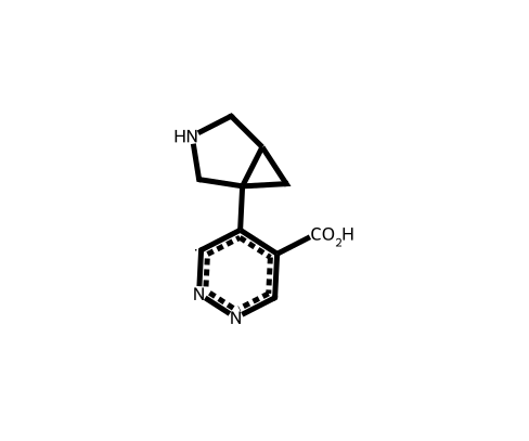 O=C(O)c1cnn[c]c1C12CNCC1C2